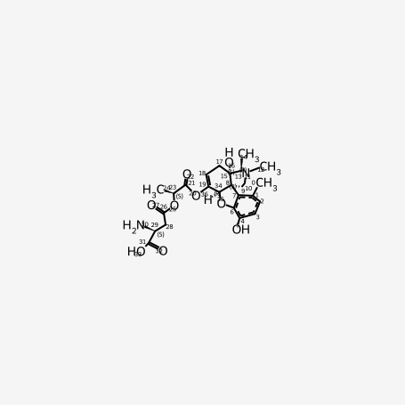 Cc1ccc(O)c2c1[C@]13CCN(C)[C@H](C)[C@]1(O)CC=C(OC(=O)[C@H](C)OC(=O)C[C@H](N)C(=O)O)[C@@H]3O2